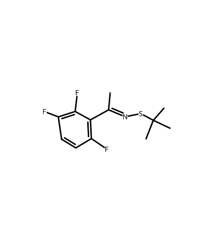 C/C(=N\SC(C)(C)C)c1c(F)ccc(F)c1F